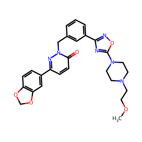 COCCN1CCN(c2nc(-c3cccc(Cn4nc(-c5ccc6c(c5)OCO6)ccc4=O)c3)no2)CC1